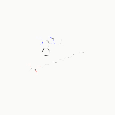 CC(C)Cn1cnc2c(N)nc3ccccc3c21.CCCCCCCCCCCCCCOC(=O)C(C)O